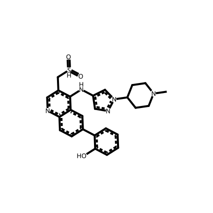 CN1CCC(n2cc(Nc3c(C[SH](=O)=O)cnc4ccc(-c5ccccc5O)cc34)cn2)CC1